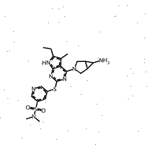 CCc1[nH]c2nc(Sc3cncc(S(=O)(=O)N(C)C)c3)nc(N3CC4C(N)C4C3)c2c1C